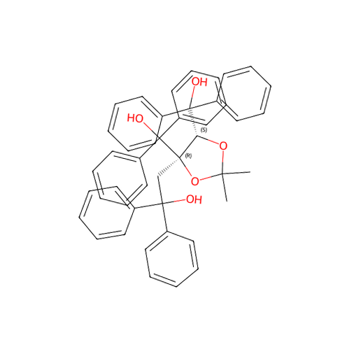 CC1(C)O[C@@H](C(O)(c2ccccc2)c2ccccc2)[C@](CC(O)(c2ccccc2)c2ccccc2)(C(O)(c2ccccc2)c2ccccc2)O1